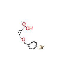 O=C(O)C1CC1COCc1ccc(Br)cc1